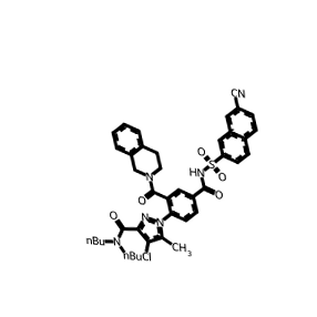 CCCCN(CCCC)C(=O)c1nn(-c2ccc(C(=O)NS(=O)(=O)c3ccc4ccc(C#N)cc4c3)cc2C(=O)N2CCc3ccccc3C2)c(C)c1Cl